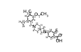 CCOc1cc(CN2CCC3(CC2)CN(c2ccc(C(=O)O)c(F)c2)C3)c(C2CC2)cc1C